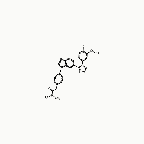 COc1cc(-n2cnnc2-c2ccc3ncc(-c4ccc(NC(=O)N(C)C)cc4)n3c2)ccc1F